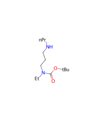 CCCNCCCN(CC)C(=O)OC(C)(C)C